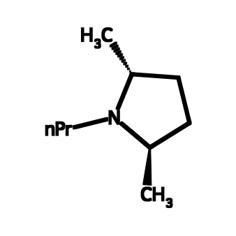 [CH2]CCN1[C@H](C)CC[C@H]1C